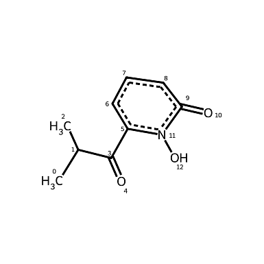 CC(C)C(=O)c1cccc(=O)n1O